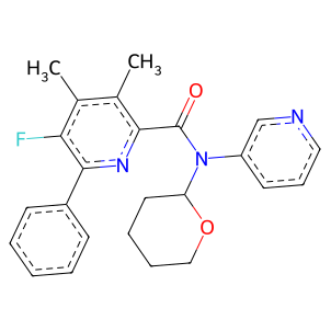 Cc1c(C(=O)N(c2cccnc2)C2CCCCO2)nc(-c2ccccc2)c(F)c1C